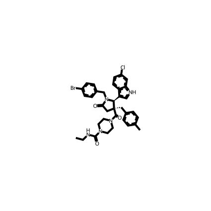 CCNC(=O)N1CCN(C(=O)[C@@]2(Cc3ccc(C)cc3)CC(=O)N(Cc3ccc(Br)cc3)[C@H]2c2c[nH]c3cc(Cl)ccc23)CC1